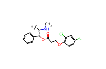 CNC(C)C(OC(=O)CCOc1ccc(Cl)cc1Cl)c1ccccc1